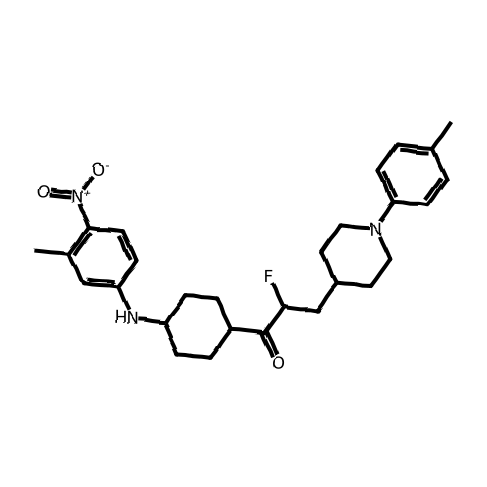 Cc1ccc(N2CCC(CC(F)C(=O)C3CCC(Nc4ccc([N+](=O)[O-])c(C)c4)CC3)CC2)cc1